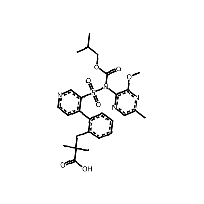 COc1nc(C)cnc1N(C(=O)OCC(C)C)S(=O)(=O)c1cnccc1-c1ccccc1CC(C)(C)C(=O)O